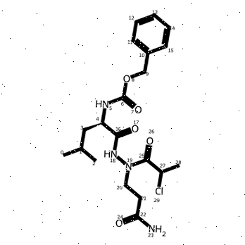 CC(C)C[C@@H](NC(=O)OCc1ccccc1)C(=O)NN(CCC(N)=O)C(=O)C(C)Cl